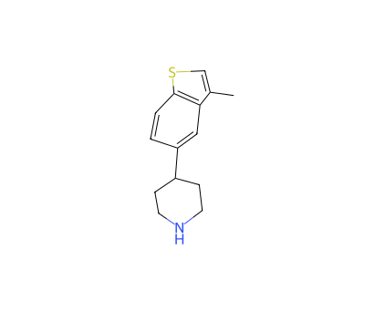 Cc1csc2ccc(C3CCNCC3)cc12